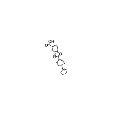 O=C(O)c1ccc2oc(-c3ccc(N4CCCC4)nc3)nc2c1